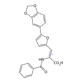 O=C(O)/C(=C/c1ccc(-c2ccc3c(c2)OCO3)o1)NC(=O)c1ccccc1